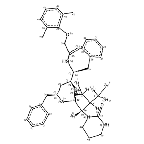 [2H]C([2H])([2H])C([2H])(C([2H])([2H])[2H])[C@@]([2H])(C(=O)N[C@@H](Cc1ccccc1)C[C@H](O)[C@H](Cc1ccccc1)NC(=O)COc1c(C)cccc1C)N1CCCNC1=O